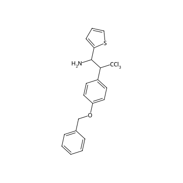 NC(c1cccs1)C(c1ccc(OCc2ccccc2)cc1)C(Cl)(Cl)Cl